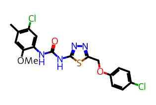 COc1cc(C)c(Cl)cc1NC(=O)Nc1nnc(COc2ccc(Cl)cc2)s1